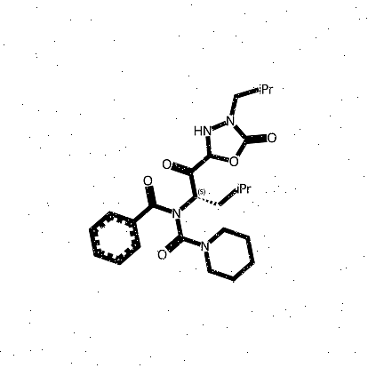 CC(C)C[C@@H](C(=O)C1NN(CC(C)C)C(=O)O1)N(C(=O)c1ccccc1)C(=O)N1C[CH]CCC1